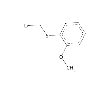 [Li][CH2]Sc1ccccc1OC